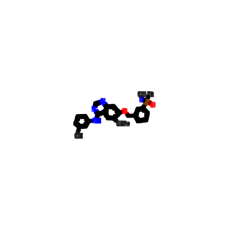 CCOC(=O)N=S(C)(=O)c1cccc(COc2cc3ncnc(Nc4cccc(C#N)c4)c3cc2OC)c1